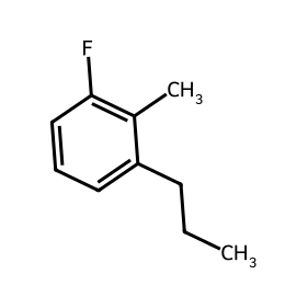 CCCc1cccc(F)c1C